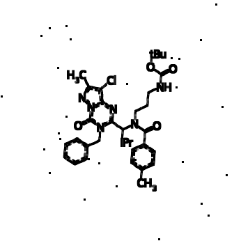 Cc1ccc(C(=O)N(CCCNC(=O)OC(C)(C)C)C(c2nc3c(Cl)c(C)nn3c(=O)n2Cc2ccccc2)C(C)C)cc1